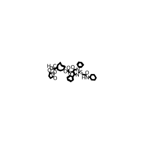 CC1(C(=O)ON2C(=O)CCC2=O)CC/C=C/C(OC(=O)n2c3ccccc3c3nc(SCC(=O)NC4CCCCC4)n(-c4ccccc4)c(=O)c32)CC1